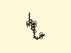 C=CC(=O)OCCC(C)(C)CC(C)(C)CCCOc1ccc2cc(-c3ccc(CCCCC)cc3C(F)(F)F)c(=O)oc2c1